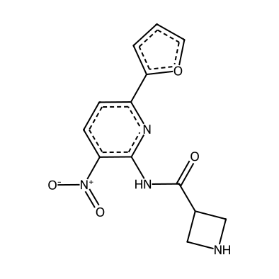 O=C(Nc1nc(-c2ccco2)ccc1[N+](=O)[O-])C1CNC1